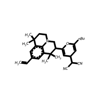 C=Cc1cc2c3c(c1)C(C)(C)C(C1=CC(C(C#N)C#N)C=C(CCCC)O1)CN3CCC2(C)C